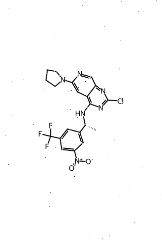 C[C@@H](Nc1nc(Cl)nc2cnc(N3CCCC3)cc12)c1cc([N+](=O)[O-])cc(C(F)(F)F)c1